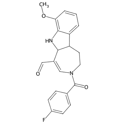 COc1cccc2c1NC1C(C=O)=CN(C(=O)c3ccc(F)cc3)CCC21